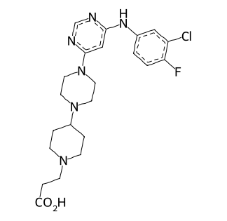 O=C(O)CCN1CCC(N2CCN(c3cc(Nc4ccc(F)c(Cl)c4)ncn3)CC2)CC1